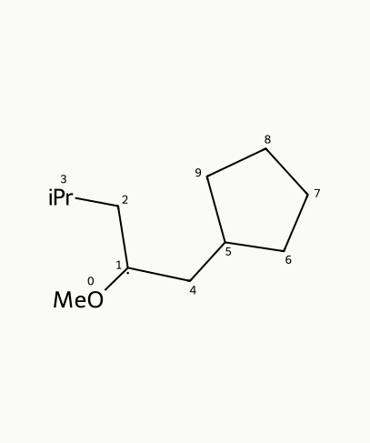 CO[C](CC(C)C)CC1CCCC1